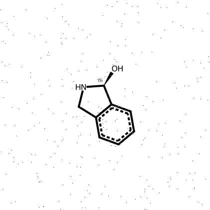 O[C@@H]1NCc2ccccc21